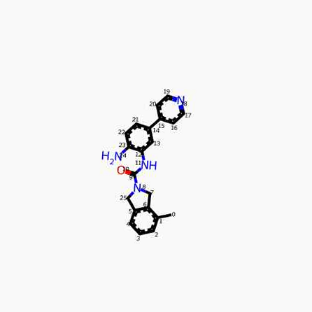 Cc1cccc2c1CN(C(=O)Nc1cc(-c3ccncc3)ccc1N)C2